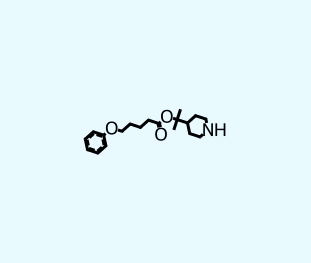 CC(C)(OC(=O)CCCCOc1ccccc1)C1CCNCC1